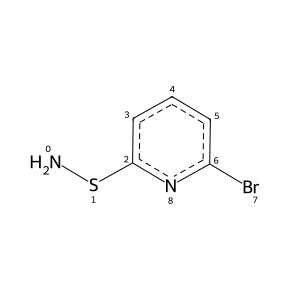 NSc1cccc(Br)n1